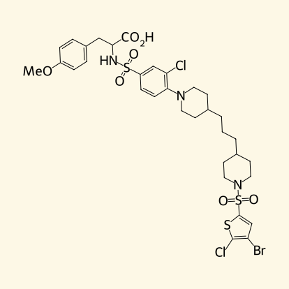 COc1ccc(CC(NS(=O)(=O)c2ccc(N3CCC(CCCC4CCN(S(=O)(=O)c5cc(Br)c(Cl)s5)CC4)CC3)c(Cl)c2)C(=O)O)cc1